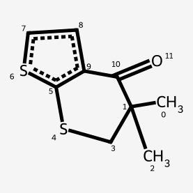 CC1(C)CSc2sccc2C1=O